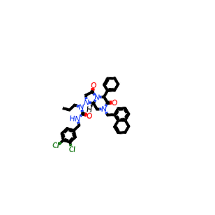 CCCN(C(=O)NCc1ccc(Cl)c(Cl)c1)N1CC(=O)N2C(C3=CCCC=C3)C(=O)N(Cc3cccc4c3C=CCC4)C[C@@H]21